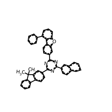 CC1(C)c2ccccc2-c2ccc(-c3nc(-c4ccc5ccccc5c4)nc(-c4ccc5c(c4)oc4cccc(-c6ccccc6)c45)n3)cc21